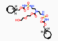 O=C(NS(=O)(=O)NCCN(CCNS(=O)(=O)NC(=O)OC[C@@H]1[C@@H]2CCC#CCC[C@@H]21)C(=O)OCCOCCO)OC[C@@H]1[C@@H]2CCC#CCC[C@@H]21